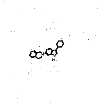 c1ccc2c(c1)CCN(c1ccc3c(C4CCCCC4)c[nH]c3c1)C2